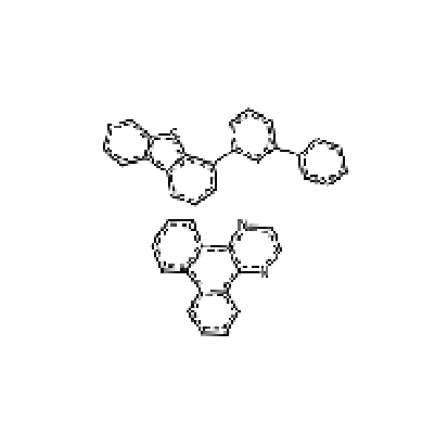 c1ccc(-c2cccc(-c3cccc4c3sc3ccccc34)c2)cc1.c1ccc2c(c1)c1ccccc1c1nccnc21